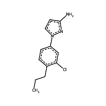 CCCc1ccc(-n2ccc(N)n2)cc1Cl